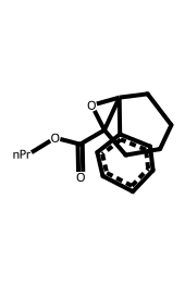 CCCOC(=O)C12CCCCC1(c1ccccc1)O2